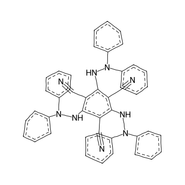 N#Cc1c(NN(c2ccccc2)c2ccccc2)c(C#N)c(NN(c2ccccc2)c2ccccc2)c(C#N)c1NN(c1ccccc1)c1ccccc1